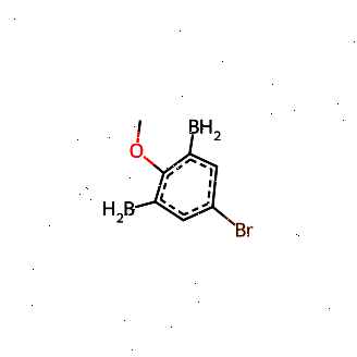 Bc1cc(Br)cc(B)c1OC